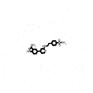 Nc1n[nH]c2ccc(-c3ccnc(NCCc4ccc(S(N)(=O)=O)cc4)c3)cc12